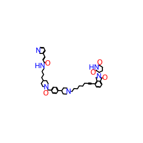 O=C(/C=C/c1cccnc1)NCCCCC1CCN(C(=O)c2ccc(C3CCN(CCCCCCC#Cc4cccc5c4CN(C4CCC(=O)NC4=O)C5=O)CC3)cc2)CC1